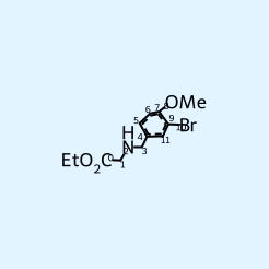 CCOC(=O)CNCc1ccc(OC)c(Br)c1